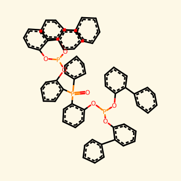 O=P(c1ccccc1)(c1ccccc1OP(Oc1ccccc1-c1ccccc1)Oc1ccccc1-c1ccccc1)c1ccccc1OP(Oc1ccccc1-c1ccccc1)Oc1ccccc1-c1ccccc1